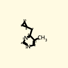 Cc1cn[c]nc1CC1CC1